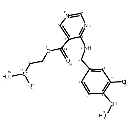 COc1ccc(CNc2ncncc2C(=O)OCC[S+](C)[O-])cc1Cl